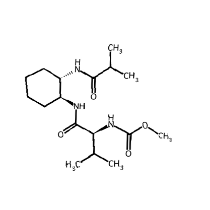 COC(=O)N[C@H](C(=O)N[C@H]1CCCC[C@@H]1NC(=O)C(C)C)C(C)C